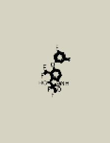 N=S1(=O)c2ccc(Oc3cc(F)cc(F)c3)c(C(F)F)c2C(O)C1(F)CF